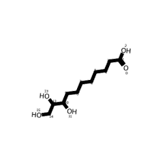 O=C(O)CCCCCCCC(O)C(O)CO